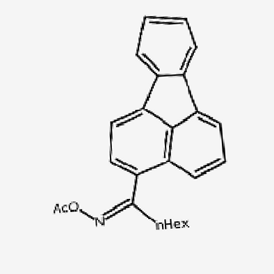 CCCCCC/C(=N/OC(C)=O)c1ccc2c3c(cccc13)-c1ccccc1-2